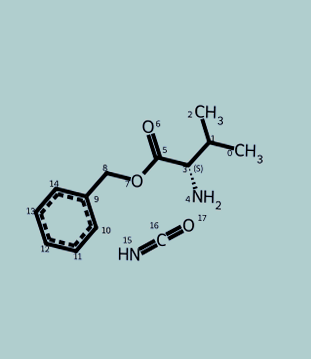 CC(C)[C@H](N)C(=O)OCc1ccccc1.N=C=O